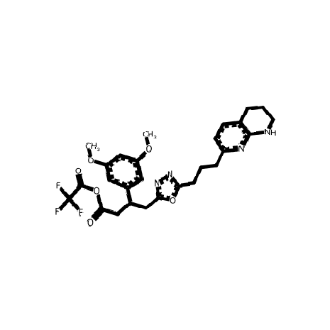 COc1cc(OC)cc(C(CC(=O)OC(=O)C(F)(F)F)Cc2nnc(CCCc3ccc4c(n3)NCCC4)o2)c1